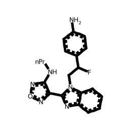 CCCNc1nonc1-c1nc2ccccc2n1CC(F)c1ccc(N)cc1